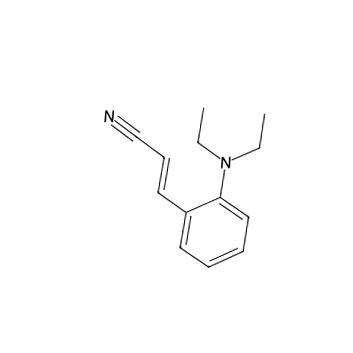 CCN(CC)c1ccccc1/C=C/C#N